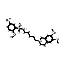 COc1cc2c(cc1OC)CN(CCCCCNS(=O)(=O)c1cc(Br)ccc1OC)CC2